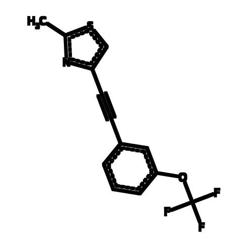 Cc1nc(C#Cc2cccc(OC(F)(F)F)c2)cs1